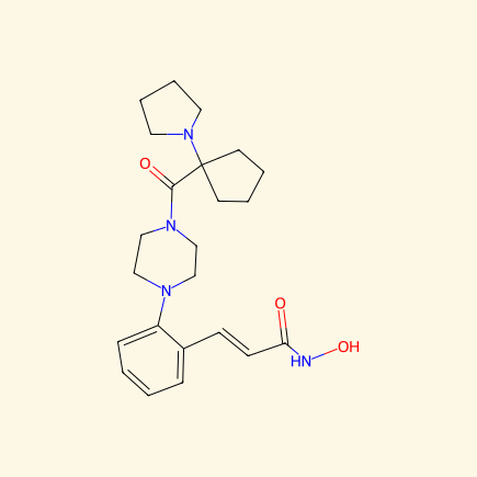 O=C(C=Cc1ccccc1N1CCN(C(=O)C2(N3CCCC3)CCCC2)CC1)NO